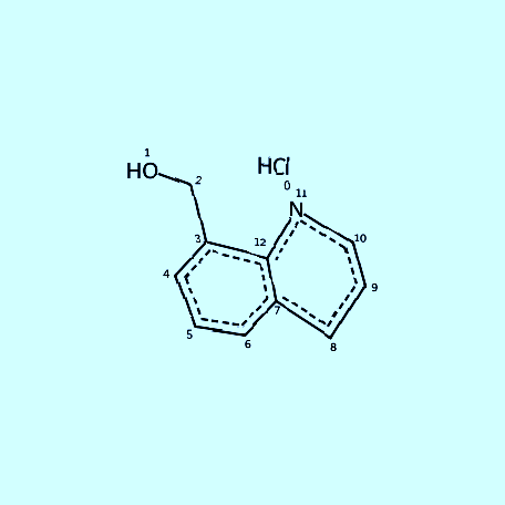 Cl.OCc1cccc2cccnc12